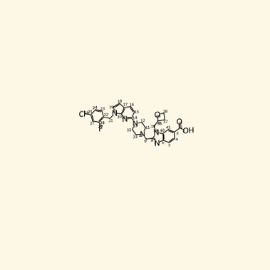 O=C(O)c1ccc2nc(CN3CCN(c4ccc5ccn(Cc6ccc(Cl)cc6F)c5n4)CC3)n(C[C@@H]3CCO3)c2c1